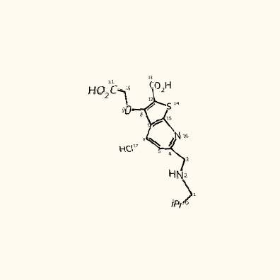 CC(C)CNCc1ccc2c(OCC(=O)O)c(C(=O)O)sc2n1.Cl